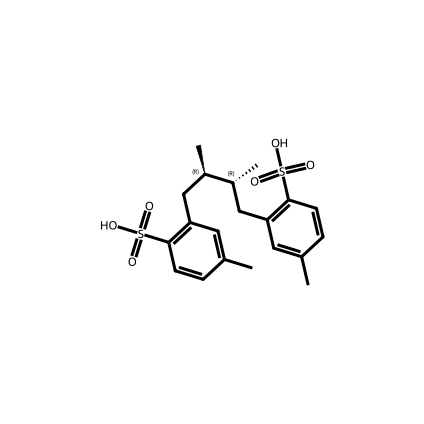 Cc1ccc(S(=O)(=O)O)c(C[C@@H](C)[C@H](C)Cc2cc(C)ccc2S(=O)(=O)O)c1